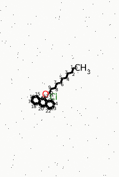 CCCCCCCCCCC(Cl)Oc1c2ccccc2cc2ccccc12